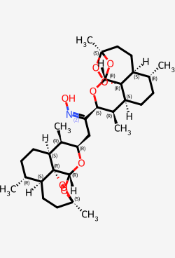 C[C@H]1[C@@H](/C(C[C@H]2O[C@@H]3O[C@]4(C)CC[C@H]5[C@H](C)CC[C@@H]([C@H]2C)[C@@]35OO4)=N\O)O[C@@H]2O[C@]3(C)CC[C@H]4[C@H](C)CC[C@@H]1[C@@]24OO3